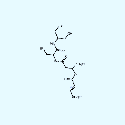 CCCCCCC/C=C/C(=O)OC(CCCCCCC)CC(=O)NC(CO)C(=O)NC(CO)CC(C)C